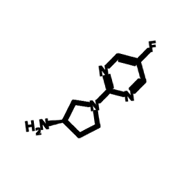 N[C@@H]1CCN(c2ncc(F)cn2)C1